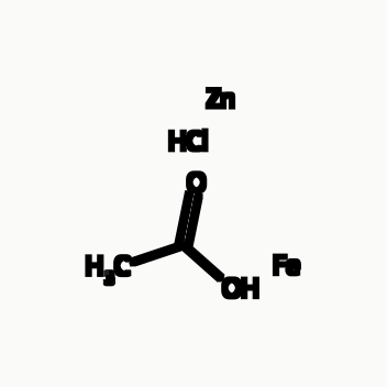 CC(=O)O.Cl.[Fe].[Zn]